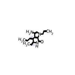 C=C/C=c1\c(=C/C)[nH]c(=O)c2c1c(N)cn2CC=C